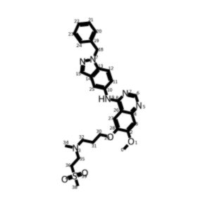 COc1cc2ncnc(Nc3ccc4c(cnn4Cc4ccccc4)c3)c2cc1OCCCN(C)CCS(C)(=O)=O